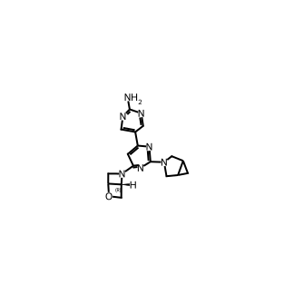 Nc1ncc(-c2cc(N3CC4OC[C@H]43)nc(N3CC4CC4C3)n2)cn1